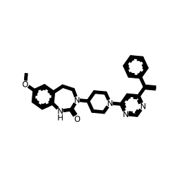 C=C(c1ccccc1)c1cc(N2CCC(N3CCc4cc(OC)ccc4NC3=O)CC2)ncn1